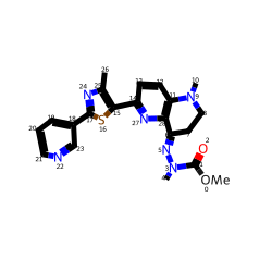 COC(=O)N(C)/N=C1\CCN(C)c2ccc(-c3sc(-c4cccnc4)nc3C)nc21